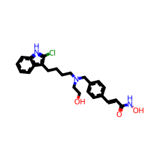 O=C(/C=C/c1ccc(CN(CCO)CCCCc2c(Cl)[nH]c3ccccc23)cc1)NO